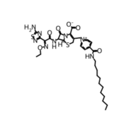 CCCCCCCCCCCCNC(=O)c1cc[n+](CC2=C(C(=O)[O-])N3C(=O)C(NC(=O)C(=NOCC)c4nsc(N)n4)[C@@H]3SC2)cc1